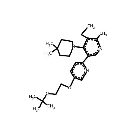 CCc1c(C)ncc(-c2ccc(OCCOC(C)(C)C)cn2)c1N1CCC(C)(C)CC1